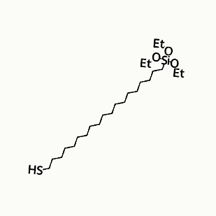 CCO[Si](CCCCCCCCCCCCCCCCCCCS)(OCC)OCC